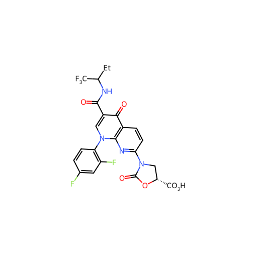 CCC(NC(=O)c1cn(-c2ccc(F)cc2F)c2nc(N3C[C@H](C(=O)O)OC3=O)ccc2c1=O)C(F)(F)F